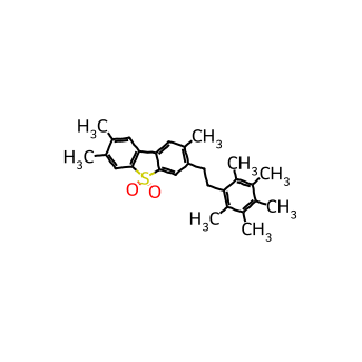 Cc1cc2c(cc1C)S(=O)(=O)c1cc(CCc3c(C)c(C)c(C)c(C)c3C)c(C)cc1-2